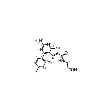 Cc1ccc(-c2nc(N)nc3sc(C(=O)NCCO)cc23)c(C)c1